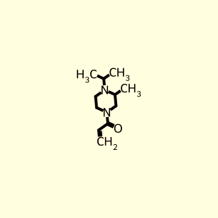 C=CC(=O)N1CCN(C(C)C)C(C)C1